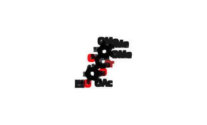 CCOc1ccc2c(C(=O)c3cc(OC)c(OC)c(OC)c3)c(Br)oc2c1OC(C)=O